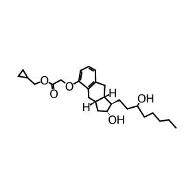 CCCCC[C@H](O)CC[C@@H]1[C@H]2Cc3cccc(OCC(=O)OCC4CC4)c3C[C@H]2C[C@H]1O